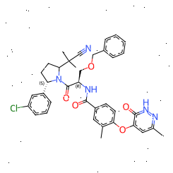 Cc1cc(Oc2ccc(C(=O)N[C@H](COCc3ccccc3)C(=O)N3C(C(C)(C)C#N)CC[C@H]3c3cccc(Cl)c3)cc2C)c(=O)[nH]n1